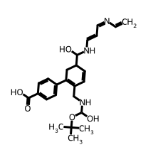 C=C/N=C\C=C\NC(O)C1C=CC(CNC(O)OC(C)(C)C)=C(c2ccc(C(=O)O)cc2)C1